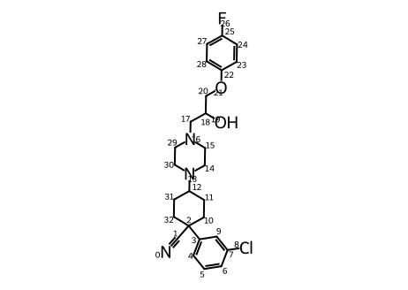 N#CC1(c2cccc(Cl)c2)CCC(N2CCN(CC(O)COc3ccc(F)cc3)CC2)CC1